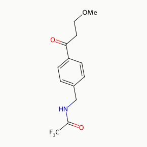 COCCC(=O)c1ccc(CNC(=O)C(F)(F)F)cc1